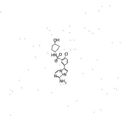 Nc1nccn2c(-c3ccc(Cl)c(S(=O)(=O)N[C@H]4CC[C@H](O)CC4)c3)cnc12